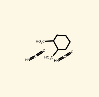 N=C=O.N=C=O.O=C(O)C1CCCCC1C(=O)O